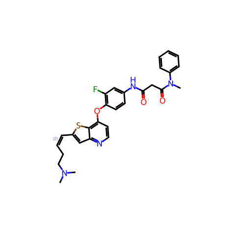 CN(C)CC/C=C\c1cc2nccc(Oc3ccc(NC(=O)CC(=O)N(C)c4ccccc4)cc3F)c2s1